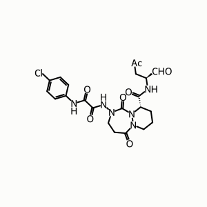 CC(=O)C[C@@H](C=O)NC(=O)[C@@H]1CCCN2C(=O)CCN(NC(=O)C(=O)Nc3ccc(Cl)cc3)C(=O)N12